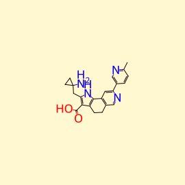 Cc1ccc(-c2cc3c(cn2)CCc2c-3[nH]c(CC3(N)CC3)c2C(=O)O)cn1